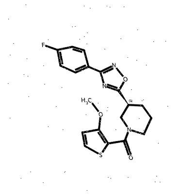 COc1ccsc1C(=O)N1CCC[C@H](c2nc(-c3ccc(F)cc3)no2)C1